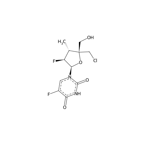 C[C@H]1[C@H](F)[C@H](n2cc(F)c(=O)[nH]c2=O)O[C@@]1(CO)CCl